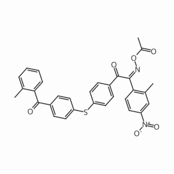 CC(=O)O/N=C(\C(=O)c1ccc(Sc2ccc(C(=O)c3ccccc3C)cc2)cc1)c1ccc([N+](=O)[O-])cc1C